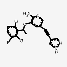 CC(Oc1cc(C#Cc2cn[nH]c2)cnc1N)c1c(Cl)ccc(F)c1Cl